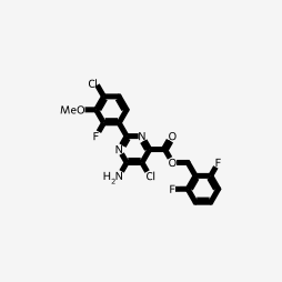 COc1c(Cl)ccc(-c2nc(N)c(Cl)c(C(=O)OCc3c(F)cccc3F)n2)c1F